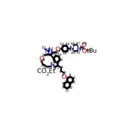 CCOC(=O)c1c(CCCOc2cccc3ccccc23)c2cccc3c2n1C/C=C\COCc1c-3c(COc2ccc(N3CCN(C(=O)OC(C)(C)C)CC3)cc2)nn1C